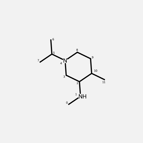 CNC1CN(C(C)C)CCC1C